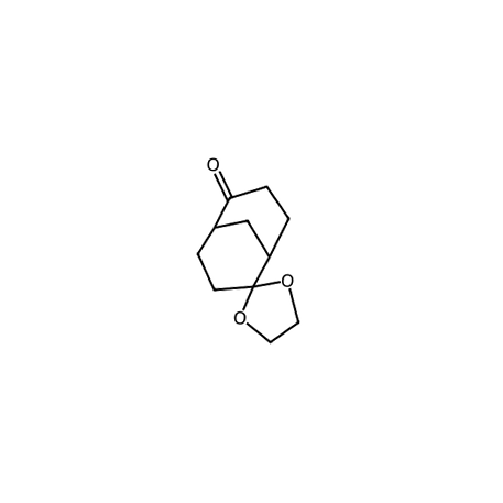 O=C1CCC2CC1CCC21OCCO1